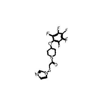 O=C(CSn1ccnc1)N1CCC(Oc2c(F)c(F)c(F)c(F)c2F)CC1